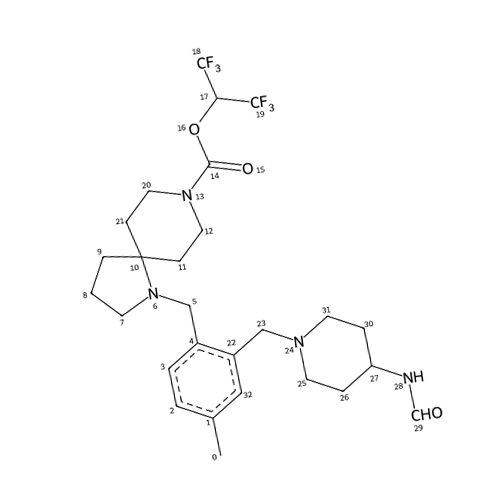 Cc1ccc(CN2CCCC23CCN(C(=O)OC(C(F)(F)F)C(F)(F)F)CC3)c(CN2CCC(NC=O)CC2)c1